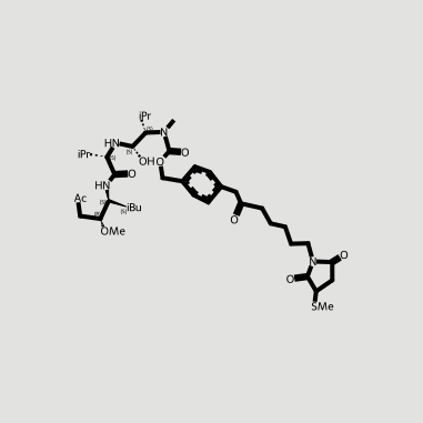 CC[C@H](C)[C@H](NC(=O)[C@@H](N[C@@H](O)[C@H](C(C)C)N(C)C(=O)OCc1ccc(CC(=O)CCCCCN2C(=O)CC(SC)C2=O)cc1)C(C)C)[C@@H](CC(C)=O)OC